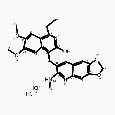 CCc1nc(O)c(Cc2cc3cc4c(cc3nc2NC)OCO4)c2cc(OC)c(OC)cc12.Cl.Cl